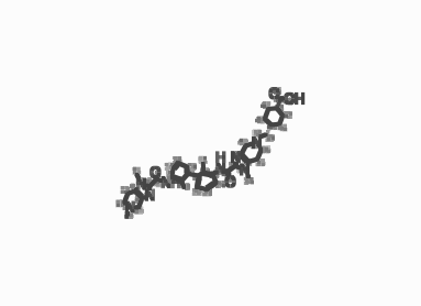 Cc1c(NC(=O)c2nc3c(n2C)CCN(C)C3)cccc1-c1cccc(NC(=O)c2nc3c(n2C)CCN(CC[C@H]2CC[C@H](C(=O)O)CC2)C3)c1C